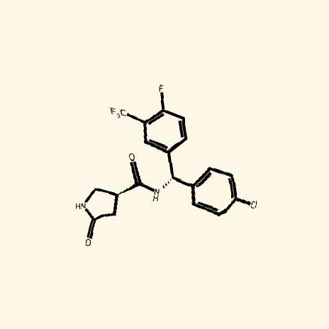 O=C1C[C@H](C(=O)N[C@@H](c2ccc(Cl)cc2)c2ccc(F)c(C(F)(F)F)c2)CN1